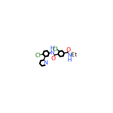 CCNC(=O)c1ccc(C(=O)Nc2ccc(Cl)c(-c3ccccn3)c2)c(Cl)c1